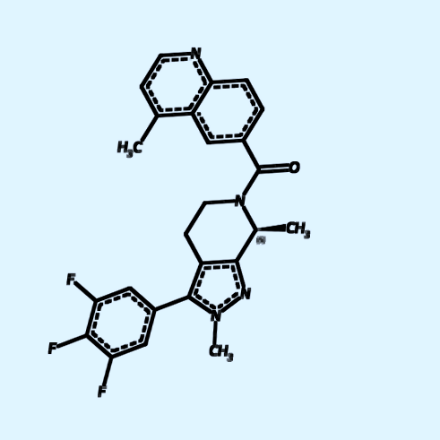 Cc1ccnc2ccc(C(=O)N3CCc4c(nn(C)c4-c4cc(F)c(F)c(F)c4)[C@@H]3C)cc12